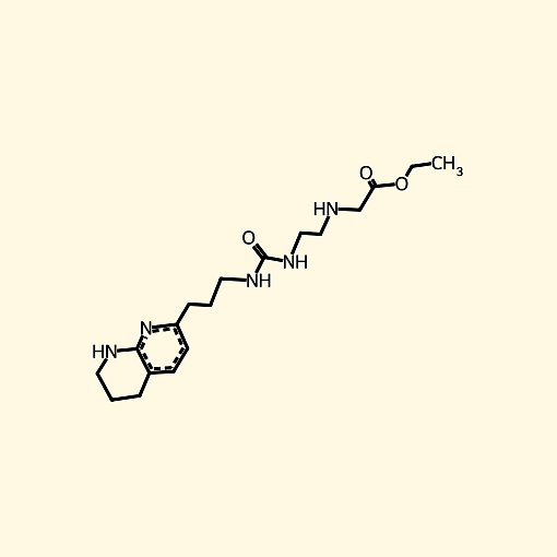 CCOC(=O)CNCCNC(=O)NCCCc1ccc2c(n1)NCCC2